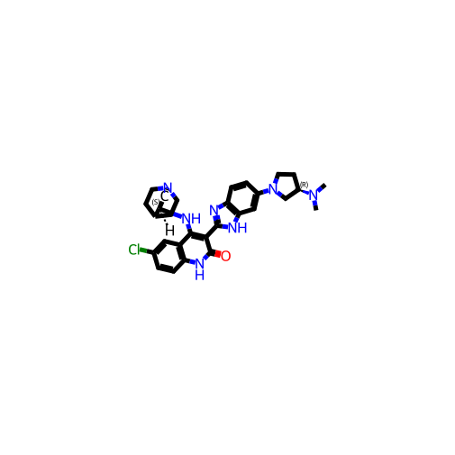 CN(C)[C@@H]1CCN(c2ccc3nc(-c4c(N[C@@H]5CN6CCC5CC6)c5cc(Cl)ccc5[nH]c4=O)[nH]c3c2)C1